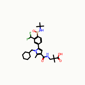 Cc1c(C(=O)NCC(C)(C)C(=O)O)cc(-c2ccc([S+]([O-])NC(C)(C)C)c(C(F)F)c2)n1CC1CCCCC1